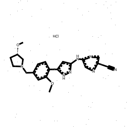 COc1cc(CN2CC[C@H](OC)C2)ccc1-c1cc(Nc2cnc(C#N)cn2)n[nH]1.Cl